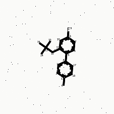 Cc1ccc(-c2ccc(F)cc2CC(C)(C)C)cc1